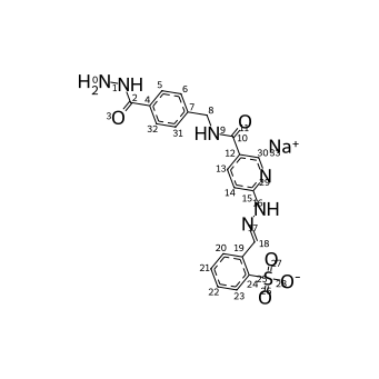 NNC(=O)c1ccc(CNC(=O)c2ccc(NN=Cc3ccccc3S(=O)(=O)[O-])nc2)cc1.[Na+]